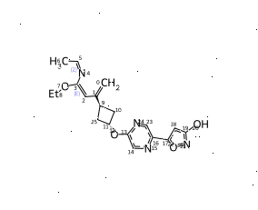 C=C(/C=C(\N=C/C)OCC)[C@H]1C[C@H](Oc2cnc(-c3cc(O)no3)cn2)C1